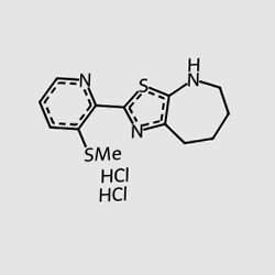 CSc1cccnc1-c1nc2c(s1)NCCCC2.Cl.Cl